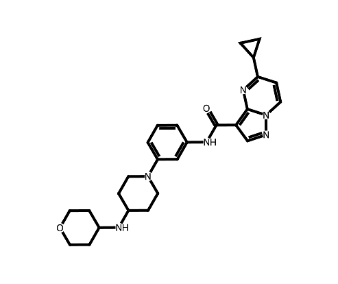 O=C(Nc1cccc(N2CCC(NC3CCOCC3)CC2)c1)c1cnn2ccc(C3CC3)nc12